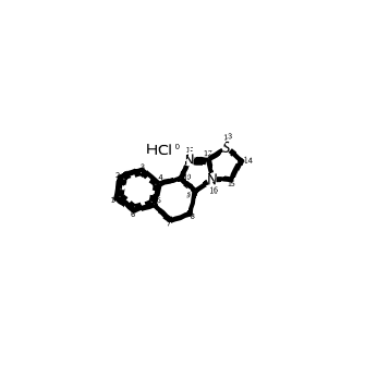 Cl.c1ccc2c(c1)CCC1C2N=C2SCCN21